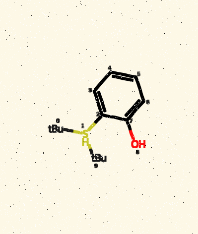 CC(C)(C)[SH](c1ccccc1O)C(C)(C)C